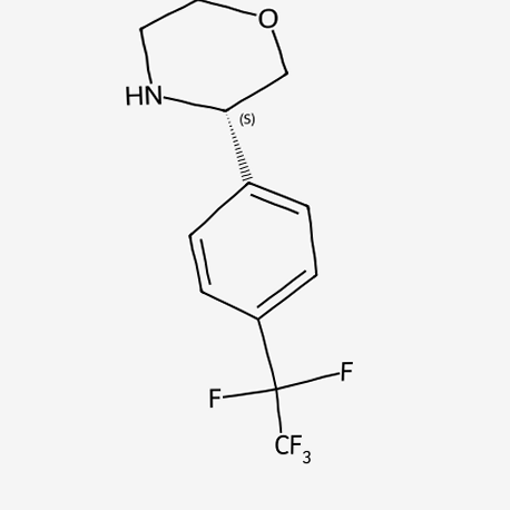 FC(F)(F)C(F)(F)c1ccc([C@H]2COCCN2)cc1